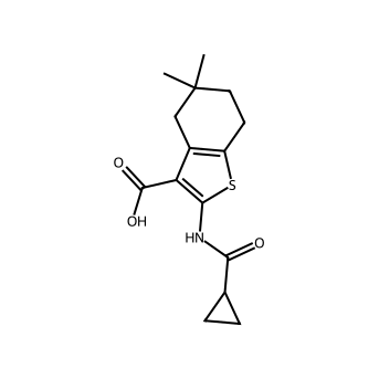 CC1(C)CCc2sc(NC(=O)C3CC3)c(C(=O)O)c2C1